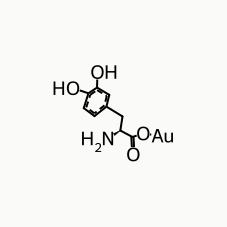 N[C@@H](Cc1ccc(O)c(O)c1)C(=O)[O][Au]